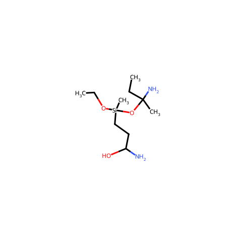 CCO[Si](C)(CCC(N)O)OC(C)(N)CC